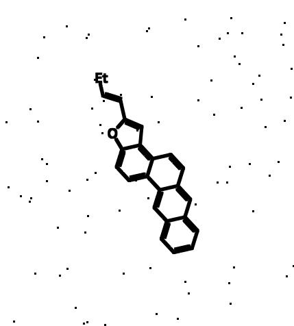 CC/C=C/c1cc2c(ccc3c4cc5ccccc5cc4ccc23)o1